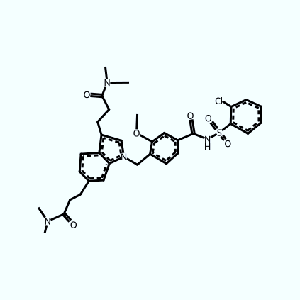 COc1cc(C(=O)NS(=O)(=O)c2ccccc2Cl)ccc1Cn1cc(CCC(=O)N(C)C)c2ccc(CCC(=O)N(C)C)cc21